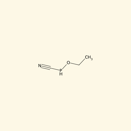 CCOPC#N